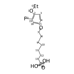 CCOc1ccc(OCCCCCCCP(=O)(O)O)cc1F